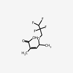 CC(=CC(C)OCC(F)(F)C(F)F)C(=O)O